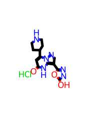 Cl.O=c1cc(C2CCNCC2)n2ncc(-c3nnc(O)o3)c2[nH]1